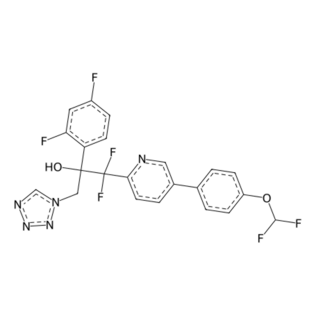 OC(Cn1cnnn1)(c1ccc(F)cc1F)C(F)(F)c1ccc(-c2ccc(OC(F)F)cc2)cn1